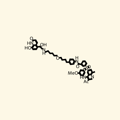 COc1cccc(Nc2c(C(C)=O)cnc3c(C)cc(S(=O)(=O)c4cccc(C(=O)Nc5ccc(CCCCOCCCCCCNC[C@H](O)c6ccc(O)c7[nH]c(=O)ccc67)cc5)c4)cc23)c1